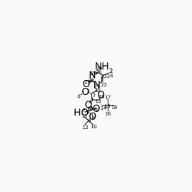 CO[C@H]1C(OP(=O)(O)OC(C)(C)C)[C@@H](CC(C)(C)C)O[C@H]1n1cc(C)c(N)nc1=O